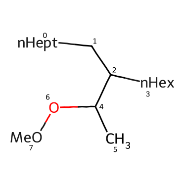 CCCCCCCCC(CCCCCC)C(C)OOC